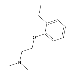 CCc1ccccc1OCCN(C)C